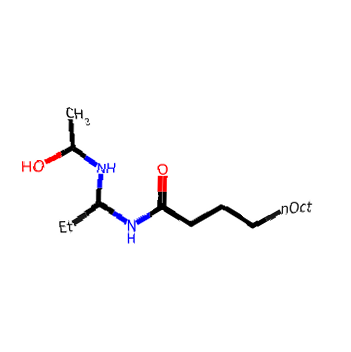 CCCCCCCCCCCC(=O)NC(CC)NC(C)O